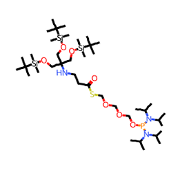 CC(C)N(C(C)C)P(OCOCOCSC(=O)CCNC(CO[Si](C)(C)C(C)(C)C)(CO[Si](C)(C)C(C)(C)C)CO[Si](C)(C)C(C)(C)C)N(C(C)C)C(C)C